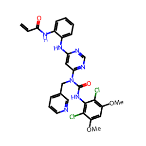 C=CC(=O)Nc1ccccc1Nc1cc(N(Cc2cccnc2)C(=O)Nc2c(Cl)c(OC)cc(OC)c2Cl)ncn1